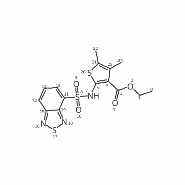 CCOC(=O)c1c(NS(=O)(=O)c2cccc3nsnc23)sc(C)c1C